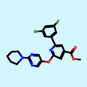 COC(=O)c1cc(Oc2cnc(N3CCCCC3)nc2)nc(-c2cc(F)cc(Cl)c2)c1